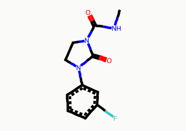 CNC(=O)N1CCN(c2cccc(F)c2)C1=O